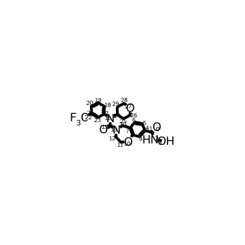 O=C(NO)c1ccc2c(c1)OCCN(C(=O)N(c1cccc(C(F)(F)F)c1)C1CCOCC1)C2